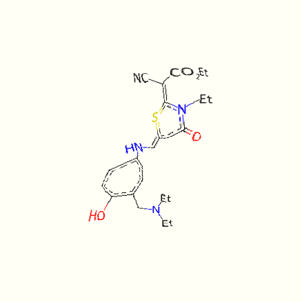 CCOC(=O)C(C#N)=c1sc(=CNc2ccc(O)c(CN(CC)CC)c2)c(=O)n1CC